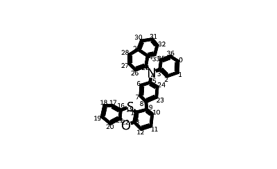 c1ccc(N(c2ccc(-c3cccc4c3Sc3ccccc3O4)cc2)c2cccc3ccccc23)cc1